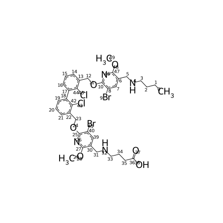 CCCCNCc1cc(Br)c(OCc2cccc(-c3cccc(COc4nc(OC)c(CNCCCC(=O)O)cc4Br)c3Cl)c2Cl)nc1OC